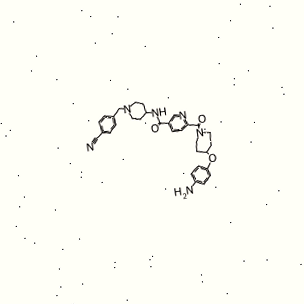 N#Cc1ccc(CN2CCC(NC(=O)c3ccc(C(=O)N4CCC(Oc5ccc(N)cc5)CC4)nc3)CC2)cc1